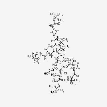 C[C@@H]([C@@H](O)[C@H](OCCO)O[C@@H]1[C@@H](O)[C@H](O[C@H]2OC(CNC[C@H]3C[C@H](NC(=O)OC(C)(C)C)C3)=CC[C@H]2NC(=O)OC(C)(C)C)[C@@H](NC(=O)OC(C)(C)C)C[C@H]1NC(=O)C1(O)CCN(C(=O)OC(C)(C)C)C1)N(C)C(=O)OC(C)(C)C